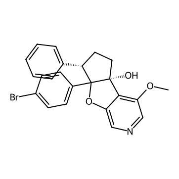 COc1cncc2c1[C@]1(O)CC[C@@H](c3ccccc3)C1(c1ccc(Br)cc1)O2